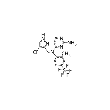 Cc1cc(S(F)(F)(F)(F)F)ccc1N(Cc1n[nH]cc1Cl)c1ccnc(N)n1